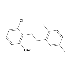 CC(=O)Oc1cccc(Cl)c1SCc1cc(C)ccc1C